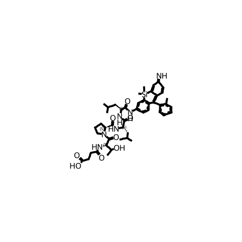 Cc1ccccc1C1=C2C=CC(=N)C=C2[Si](C)(C)c2cc(NC(=O)[C@H](CC(C)C)NC(=O)[C@H](CC(C)C)NC(=O)[C@@H]3CCCN3C(=O)[C@@H](NC(=O)CCC(=O)O)C(C)O)ccc21